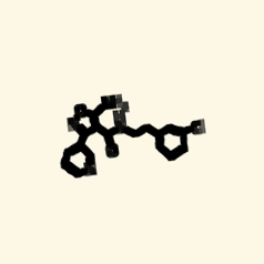 Nc1onc(-c2cccnc2)c1C(=O)NCCc1cccc(Cl)c1